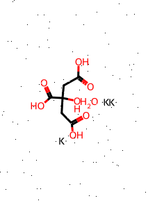 O.O=C(O)CC(O)(CC(=O)O)C(=O)O.[K].[K].[K]